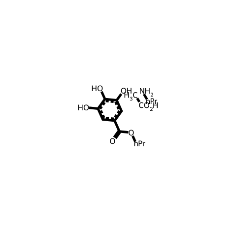 CC(=O)O.CCCN.CCCOC(=O)c1cc(O)c(O)c(O)c1